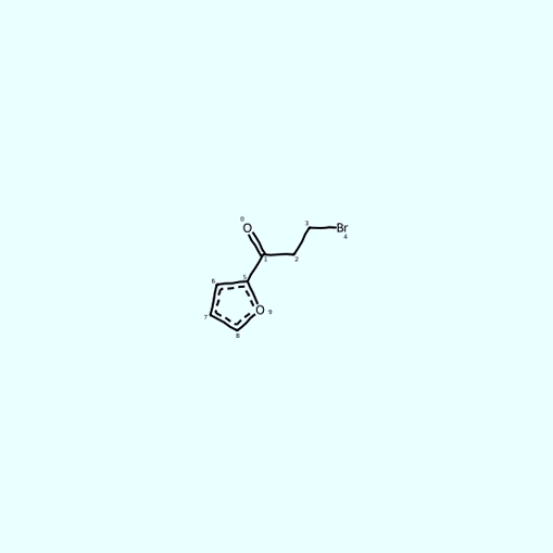 O=C(CCBr)c1ccco1